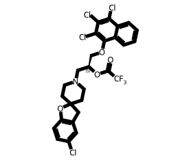 O=C(O[C@H](COc1c(Cl)c(Cl)c(Cl)c2ccccc12)CN1CCC2(CC1)Cc1cc(Cl)ccc1O2)C(F)(F)F